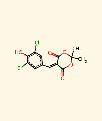 CC1(C)OC(=O)C(=Cc2cc(Cl)c(O)c(Cl)c2)C(=O)O1